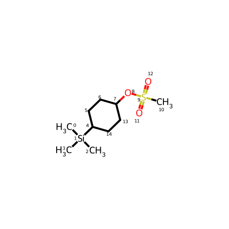 C[Si](C)(C)C1CCC(OS(C)(=O)=O)CC1